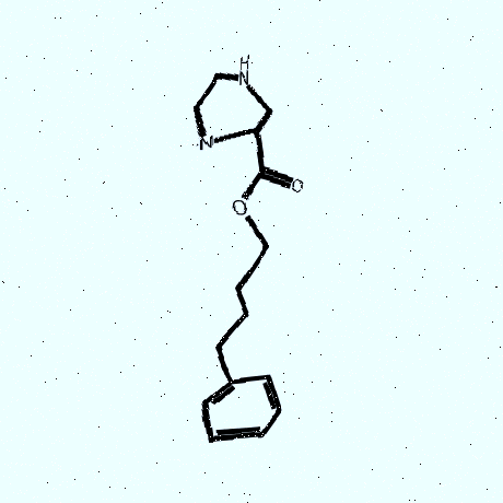 O=C(OCCCCc1ccccc1)C1CNCC[N]1